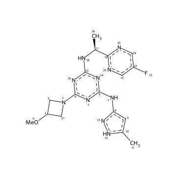 COC1CN(c2nc(Nc3cc(C)[nH]n3)nc(N[C@@H](C)c3ncc(F)cn3)n2)C1